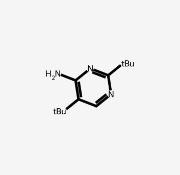 CC(C)(C)c1ncc(C(C)(C)C)c(N)n1